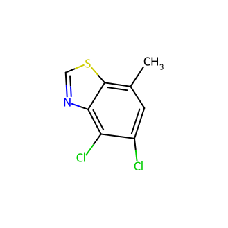 Cc1cc(Cl)c(Cl)c2ncsc12